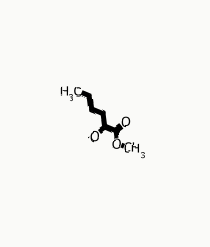 CCCCC([O])C(=O)OC